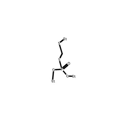 CCOP(=O)(OCC)SCSCC